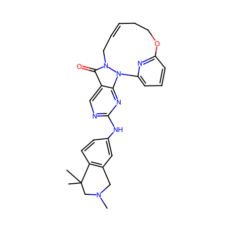 CN1Cc2cc(Nc3ncc4c(=O)n5n(c4n3)-c3cccc(n3)OCC/C=C\C5)ccc2C(C)(C)C1